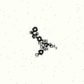 CO[C@@H]1C[C@H](C(=O)Nc2ccc(N3CCC(C(=O)c4ccccc4)C3=O)cc2F)N(C(=O)Nc2ccc(Cl)cc2)C1